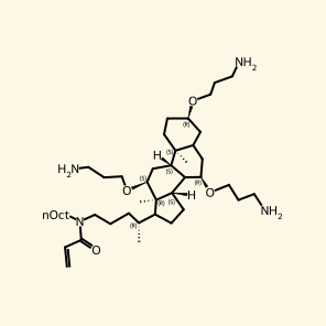 C=CC(=O)N(CCCCCCCC)CCC[C@@H](C)C1CC[C@H]2C3[C@H](OCCCN)CC4C[C@H](OCCCN)CC[C@]4(C)[C@H]3C[C@H](OCCCN)[C@]12C